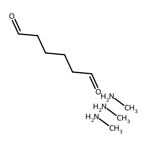 CN.CN.CN.O=CCCCCC=O